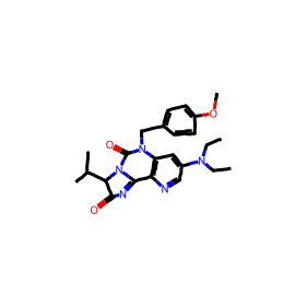 CCN(CC)c1cnc2c(c1)N(Cc1ccc(OC)cc1)C(=O)N1C2=NC(=O)C1C(C)C